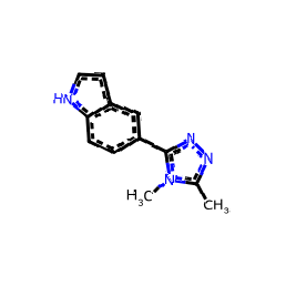 Cc1nnc(-c2ccc3[nH]ccc3c2)n1C